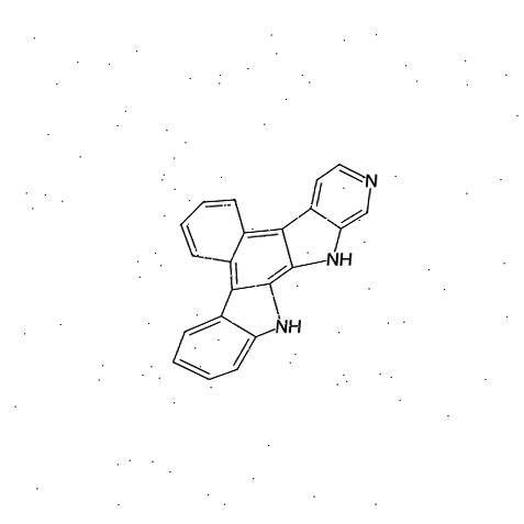 c1ccc2c(c1)[nH]c1c3[nH]c4cnccc4c3c3ccccc3c21